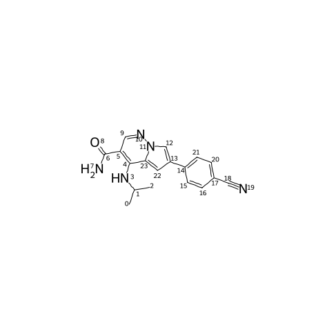 CC(C)Nc1c(C(N)=O)cnn2cc(-c3ccc(C#N)cc3)cc12